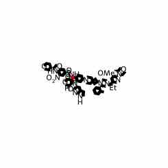 CC[C@H](c1cnc(N2CCOC[C@@H]2C)c(OC)c1)N1CCN(C2CC3(CCN(c4ccc(C(=O)NS(=O)(=O)c5cc6c(c([N+](=O)[O-])c5)N[C@H](C5CCOCC5)CO6)c(N5c6cc7cc[nH]c7nc6O[C@H]6COCC[C@@H]65)c4)CC3)C2)[C@H](c2ccccc2C)C1